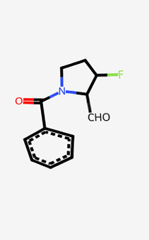 O=CC1C(F)CCN1C(=O)c1ccccc1